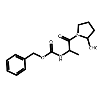 CC(NC(=O)OCc1ccccc1)C(=O)N1CCCC1C=O